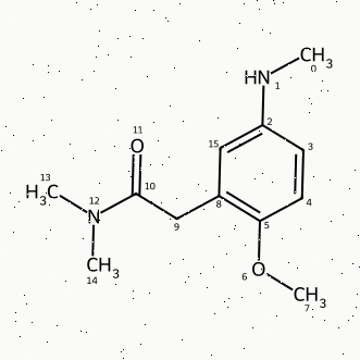 CNc1ccc(OC)c(CC(=O)N(C)C)c1